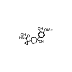 COc1ccc(C2(C#N)CCN(C3(C(=O)NO)CC3)CC2)cc1O